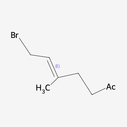 CC(=O)CC/C(C)=C/CBr